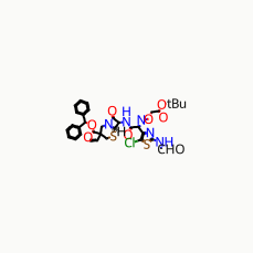 C=CC1(C(=O)OC(c2ccccc2)c2ccccc2)CS[C@@H]2C(NC(=O)C(=NOCC(=O)OC(C)(C)C)c3nc(NC=O)sc3Cl)C(=O)N2C1